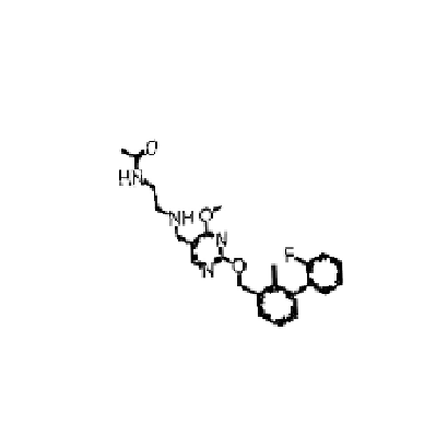 COc1nc(OCc2cccc(-c3ccccc3F)c2C)ncc1CNCCNC(C)=O